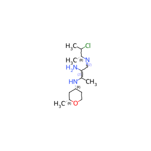 C/C(N[C@@H]1CCO[C@H](C)C1)=C(N)\C=N/[C@H](C)C(C)Cl